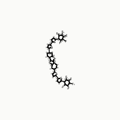 Fc1c(F)c(F)c(-c2ccc(-c3ccc(-c4ccc5c(c4)sc4c6ccc(-c7ccc(-c8ccc(-c9c(F)c(F)c(F)c(F)c9F)s8)s7)cc6sc54)s3)s2)c(F)c1F